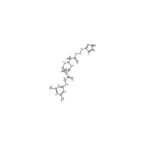 O=C(CCCc1c[nH]nn1)NC1CC2CC(C(=O)OCc3cc(Cl)cc(Cl)c3)C(C1)N2